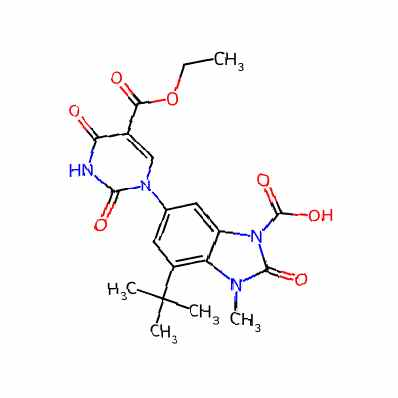 CCOC(=O)c1cn(-c2cc(C(C)(C)C)c3c(c2)n(C(=O)O)c(=O)n3C)c(=O)[nH]c1=O